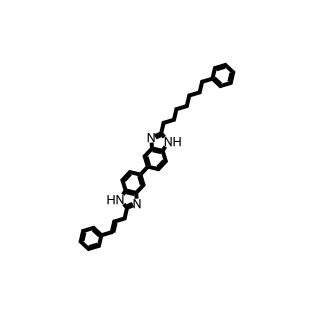 C(=C\c1ccccc1)/Cc1nc2cc(-c3ccc4[nH]c(CCCCCCCc5ccccc5)nc4c3)ccc2[nH]1